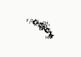 C[C@@H]1CN(c2ncc(C(F)(F)F)cn2)C[C@H](C)N1C(=O)NC1CCN(Cc2cc[nH]c2)CC1